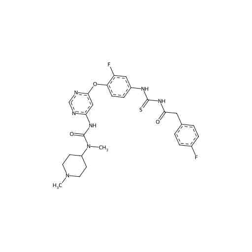 CN1CCC(N(C)C(=O)Nc2cc(Oc3ccc(NC(=S)NC(=O)Cc4ccc(F)cc4)cc3F)ncn2)CC1